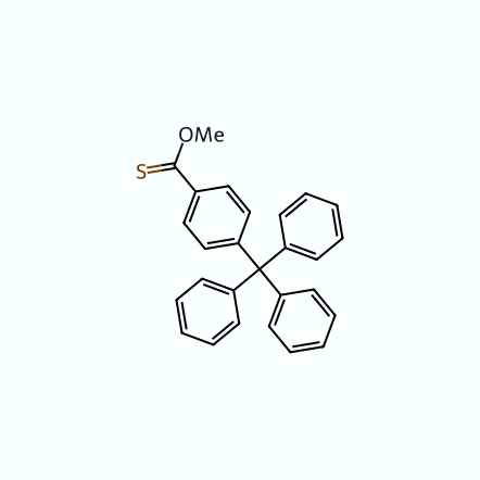 COC(=S)c1ccc(C(c2ccccc2)(c2ccccc2)c2ccccc2)cc1